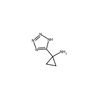 NC1(c2nnn[nH]2)CC1